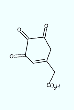 O=C(O)CC1=CC(=O)C(=O)C(=O)C1